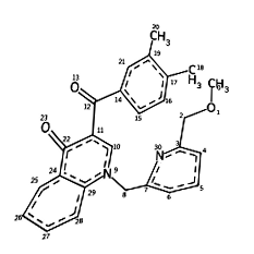 COCc1cccc(Cn2cc(C(=O)c3ccc(C)c(C)c3)c(=O)c3ccccc32)n1